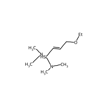 CCOCC=C[SiH](N(C)C)N(C)C